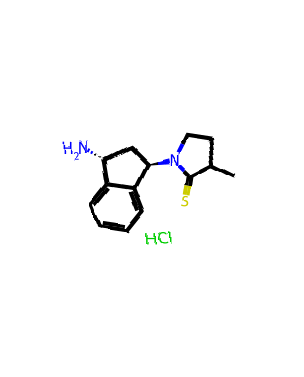 CC1CCN([C@@H]2C[C@@H](N)c3ccccc32)C1=S.Cl